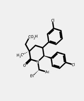 CC[C@@H](C(C)=O)N1C(=O)[C@@](C)(CC(=O)O)CC(c2cccc(Cl)c2)[C@H]1c1ccc(Cl)cc1